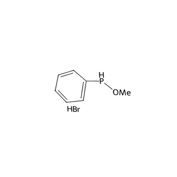 Br.COPc1ccccc1